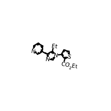 CCOC(=O)c1sccc1-n1cnc(-c2cccnc2)c1CC